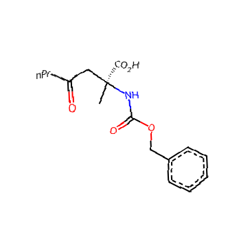 CCCC(=O)C[C@](C)(NC(=O)OCc1ccccc1)C(=O)O